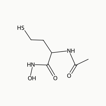 CC(=O)NC(CCS)C(=O)NO